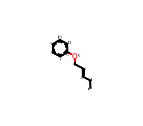 CCC=CCOc1ccccc1